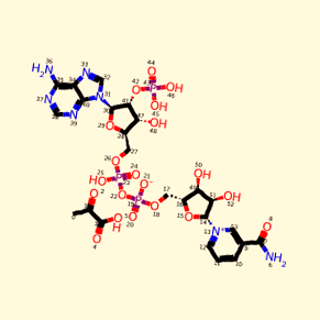 CC(=O)C(=O)O.NC(=O)c1ccc[n+]([C@@H]2O[C@H](COP(=O)([O-])OP(=O)(O)OC[C@H]3O[C@@H](n4cnc5c(N)ncnc54)[C@H](OP(=O)(O)O)[C@@H]3O)[C@@H](O)[C@H]2O)c1